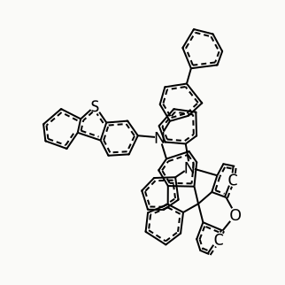 c1ccc(-c2ccc(N(c3ccc4c(c3)-c3ccccc3C43c4ccccc4Oc4cccc(N(c5ccccc5)c5ccccc5)c43)c3ccc4c(c3)sc3ccccc34)cc2)cc1